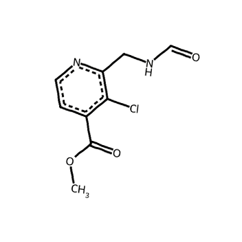 COC(=O)c1ccnc(CNC=O)c1Cl